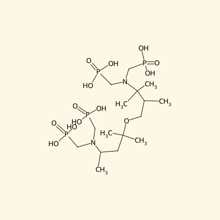 CC(CC(C)(C)OCC(C)C(C)(C)N(CP(=O)(O)O)CP(=O)(O)O)N(CP(=O)(O)O)CP(=O)(O)O